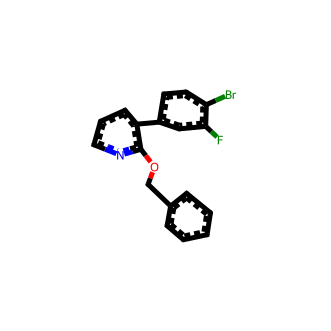 Fc1cc(-c2cccnc2OCc2ccccc2)ccc1Br